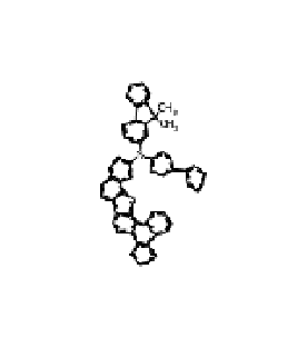 CC1(C)c2ccccc2-c2ccc(N(c3ccc(-c4ccccc4)cc3)c3ccc4ccc5c6ccc7c8ccccc8c8ccccc8c7c6sc5c4c3)cc21